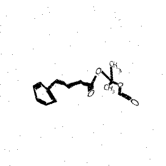 CC(C)(OC=O)OC(=O)CCCc1ccccc1